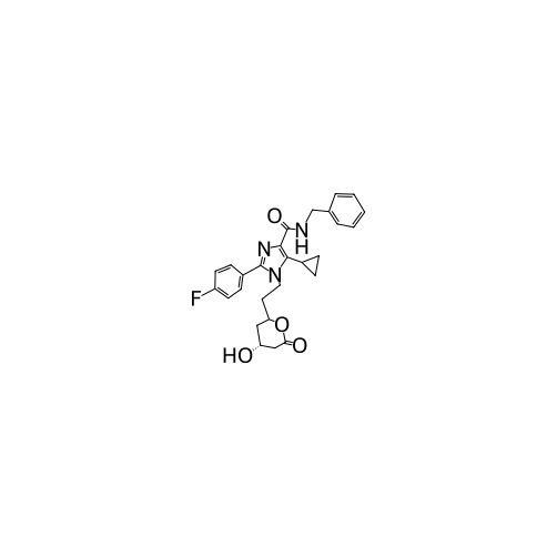 O=C1C[C@H](O)CC(CCn2c(-c3ccc(F)cc3)nc(C(=O)NCc3ccccc3)c2C2CC2)O1